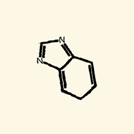 [C]1=NC2=CCC=CC2=N1